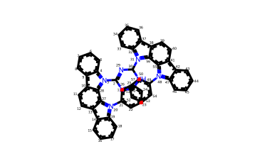 C1=NC(n2c3ccccc3c3ccc4c5ccccc5n(-c5ccccc5)c4c32)=NC(n2c3ccccc3c3ccc4c5ccccc5n(-c5ccccc5)c4c32)N1